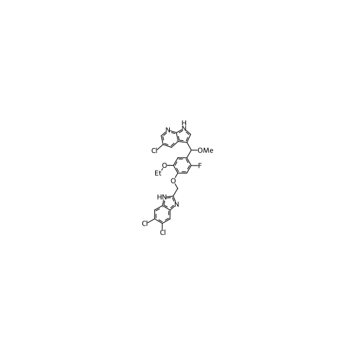 CCOc1cc(C(OC)c2c[nH]c3ncc(Cl)cc23)c(F)cc1OCc1nc2cc(Cl)c(Cl)cc2[nH]1